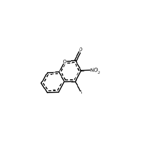 O=c1oc2ccccc2c(I)c1[N+](=O)[O-]